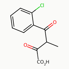 CC(C(=O)C(=O)O)C(=O)c1ccccc1Cl